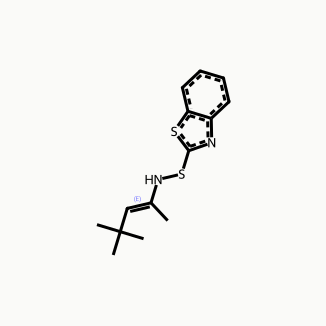 C/C(=C\C(C)(C)C)NSc1nc2ccccc2s1